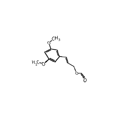 COc1cc(/C=C/COC=O)cc(OC)c1